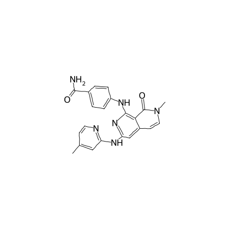 Cc1ccnc(Nc2cc3ccn(C)c(=O)c3c(Nc3ccc(C(N)=O)cc3)n2)c1